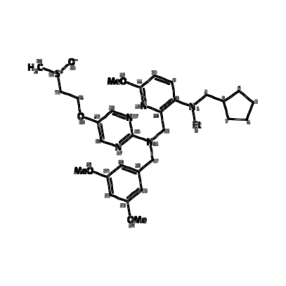 CCN(CC1CCCC1)c1ccc(OC)nc1CN(Cc1cc(OC)cc(OC)c1)c1ncc(OCC[S+](C)[O-])cn1